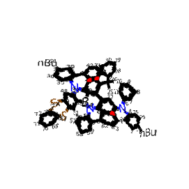 CCCCc1ccc(N(c2ccccc2)c2ccc3c(c2)-c2c4c(cc5c2C(C)(C)c2ccccc2-5)N(c2ccc(CCCC)cc2-c2ccccc2)c2cc5c(cc2B4N3c2ccccc2-c2ccccc2)Sc2ccccc2S5)cc1